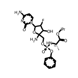 CC(C)OC(=O)[C@H](C)NP(=O)(OCC1(N)OC(n2ccc(N)nc2=O)C(F)C1O)Oc1ccccc1